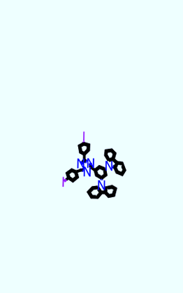 Ic1ccc(-c2nc(-c3ccc(I)cc3)nc(-c3cc(-n4c5ccccc5c5ccccc54)cc(-n4c5ccccc5c5ccccc54)c3)n2)cc1